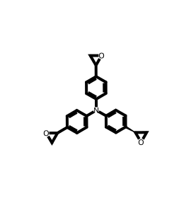 c1cc(N(c2ccc(C3CO3)cc2)c2ccc([C@H]3CO3)cc2)ccc1C1CO1